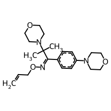 C=CCON=C(c1ccc(N2CCOCC2)cc1)C(C)(C)N1CCOCC1